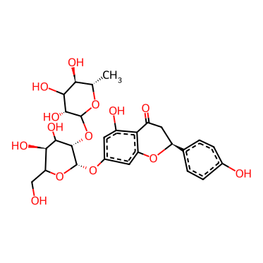 C[C@@H]1OC(O[C@H]2C(O)[C@H](O)C(CO)O[C@H]2Oc2cc(O)c3c(c2)O[C@H](c2ccc(O)cc2)CC3=O)[C@H](O)C(O)[C@H]1O